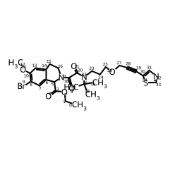 CCOC(=O)C1c2cc(Br)c(OC)cc2CCN1C(=O)C(=O)N(CCCOCC#Cc1cncs1)C(C)(C)C